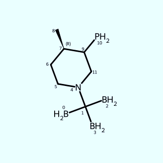 BC(B)(B)N1CC[C@@H](C)C(P)C1